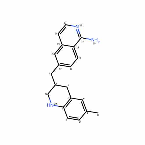 Cc1ccc2c(c1)CC(Cc1ccc3c(N)nccc3c1)CN2